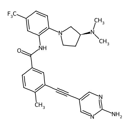 Cc1ccc(C(=O)Nc2cc(C(F)(F)F)ccc2N2CC[C@H](N(C)C)C2)cc1C#Cc1cnc(N)nc1